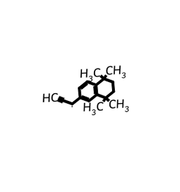 C#C[CH]c1ccc2c(c1)C(C)(C)CCC2(C)C